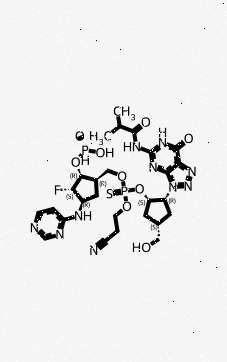 CC(C)C(=O)Nc1nc2c(nnn2[C@@H]2C[C@H](CO)C[C@@H]2OP(=S)(OCCC#N)OC[C@H]2C[C@@H](Nc3ccncn3)[C@H](F)[C@@H]2O[PH](=O)O)c(=O)[nH]1